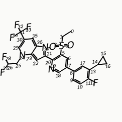 CCS(=O)(=O)c1cc(-c2ccc(F)c(C3CC3)c2)cnc1-c1cc2n(CC(F)F)cc(C(F)(F)F)cc-2n1